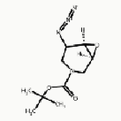 CC(C)(C)OC(=O)N1CC(N=[N+]=[N-])[C@H]2O[C@H]2C1